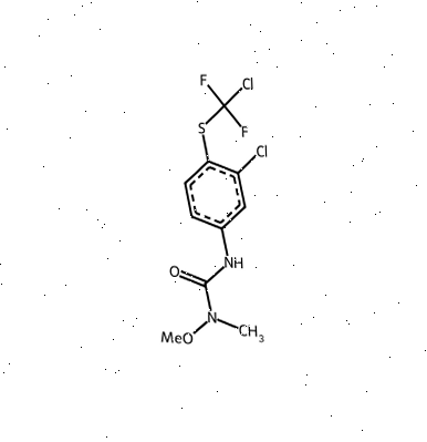 CON(C)C(=O)Nc1ccc(SC(F)(F)Cl)c(Cl)c1